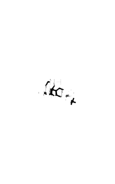 CC(C)C1(C2CCN(C(=O)OC(C)(C)C)CC2)CNCCN1C(=O)O